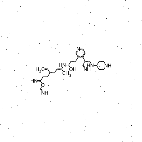 C=C/C(=C\C=C(/C)NC(O)/C=C/c1cnccc1/C(C=N)=C/NC1CCNCC1)CCC(=N)OC=N